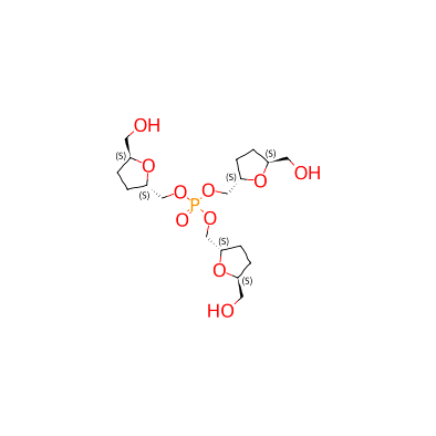 O=P(OC[C@@H]1CC[C@@H](CO)O1)(OC[C@@H]1CC[C@@H](CO)O1)OC[C@@H]1CC[C@@H](CO)O1